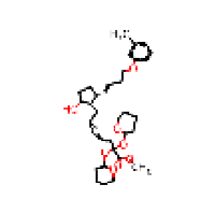 COC(=O)C(CC=C=CC[C@H]1[C@@H](O)CC[C@@H]1/C=C/CCOc1cccc(C)c1)(OC1CCCCO1)OC1CCCCO1